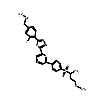 CNCc1ccc(-c2nnc(-c3cncc(-c4ccc(S(=O)(=O)C(C)CCOC)cc4)n3)o2)c(F)c1